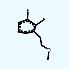 COCCc1cccc(F)c1F